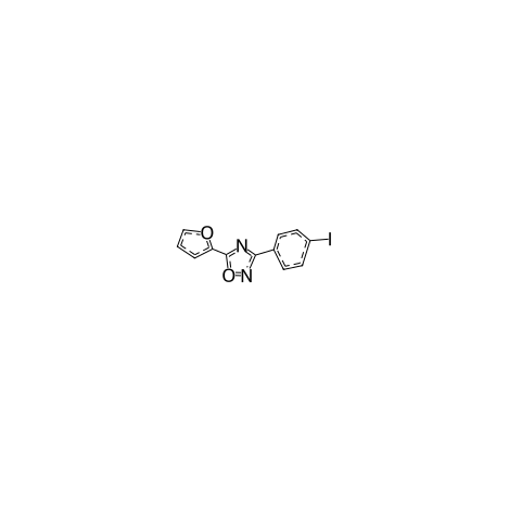 Ic1ccc(-c2noc(-c3ccco3)n2)cc1